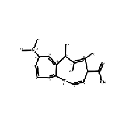 C=C(C#N)C1C=CCC2=CC=CC(N(C)C)C=C2C(C)/C(C)=C/1C